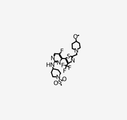 COC1CCN(Cc2nc(C(F)(F)F)c(-c3nc(NC4CCN(S(C)(=O)=O)CC4)ncc3F)s2)CC1